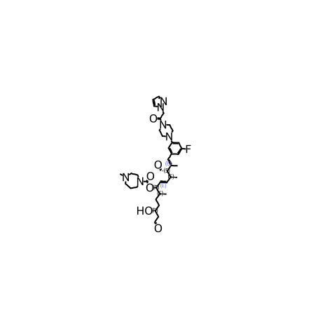 C/C(=C\c1cc(F)cc(N2CCN(C(=O)Cn3cccn3)CC2)c1)[C@@H](C=O)[C@@H](C)/C=C/[C@H](OC(=O)N1CCCN(C)CC1)[C@@H](C)CC[C@@H](O)CC=O